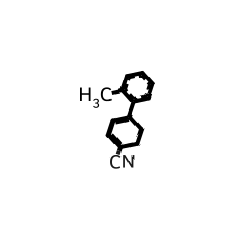 Cc1ccccc1C1=CC=C(C#N)CC1